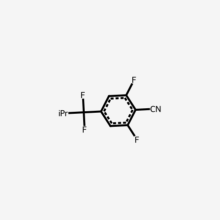 CC(C)C(F)(F)c1cc(F)c(C#N)c(F)c1